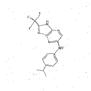 CC(C)c1ccc(Nc2cnc3[nH]c(C(F)(F)F)nc3n2)cc1